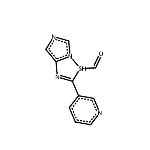 O=C[SH]1C(c2cccnc2)=Nc2cncn21